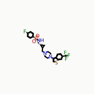 O=S(=O)(NC[C@@H]1CC1CN1CCN(c2csc3cc(C(F)(F)F)ccc23)CC1)c1ccc(F)cc1